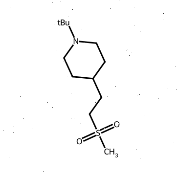 CC(C)(C)N1CCC(CCS(C)(=O)=O)CC1